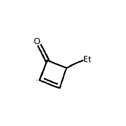 CCC1C=[C]C1=O